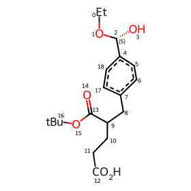 CCO[C@H](O)c1ccc(CC(CCC(=O)O)C(=O)OC(C)(C)C)cc1